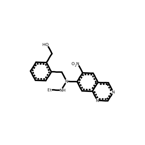 CCNN(Cc1ccccc1CO)c1cc2ncncc2cc1[N+](=O)[O-]